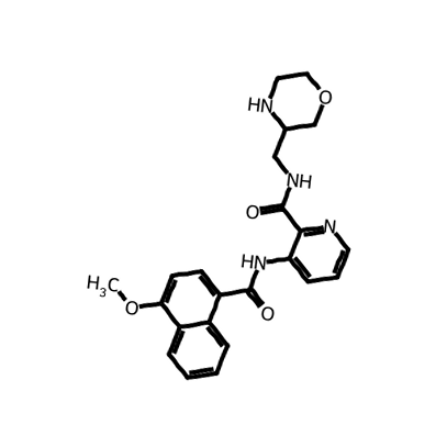 COc1ccc(C(=O)Nc2cccnc2C(=O)NCC2COCCN2)c2ccccc12